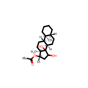 CC[C@]1(OC(=O)C(C)(C)C)CC(O)C2(O)[C@@H]3CC[C@H]4CCCC[C@]4(C)[C@H]3CC[C@@]21C